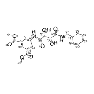 COC(=O)c1cc(NC(=O)[C@H](O)[C@@H](O)C(=O)NCC2C=CC=CC2)cc(C(=O)OC)c1